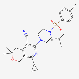 Cc1ccc(S(=O)(=O)N2CCN(c3nc(C4CC4)c4c(c3C#N)CC(C)(C)OC4)C[C@H]2C(C)C)cc1